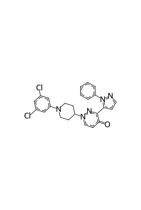 O=c1ccn(C2CCN(c3cc(Cl)cc(Cl)c3)CC2)nc1-c1ccnn1-c1ccccc1